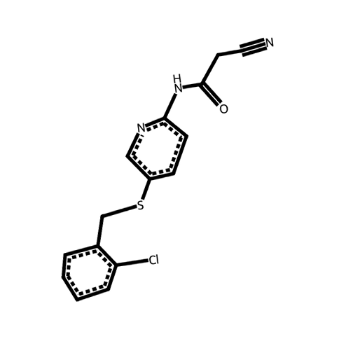 N#CCC(=O)Nc1ccc(SCc2ccccc2Cl)cn1